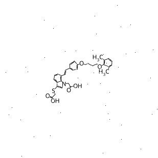 Cc1cccc(C)c1OCCCCOc1ccc(/C=C/c2cccc3c(SCC(=O)O)cn(CC(=O)O)c23)cc1